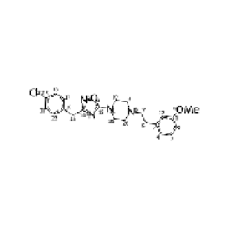 COc1cccc(CCN2CCN(c3nc(Cc4ccc(Cl)cc4)no3)CC2)c1